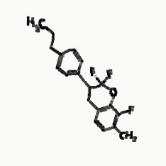 CCCc1ccc(C2Cc3ccc(C)c(F)c3OC2(F)F)cc1